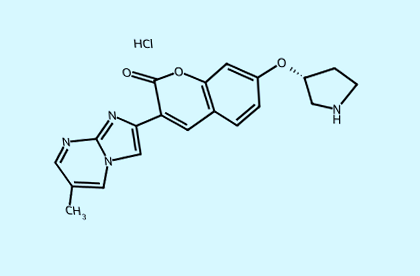 Cc1cnc2nc(-c3cc4ccc(O[C@@H]5CCNC5)cc4oc3=O)cn2c1.Cl